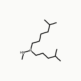 CNN(CCCCC(C)C)CCCC(C)C